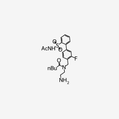 CCCCC(=O)N(CCN)Cc1ccc(-c2ccccc2S(=O)(=O)NC(C)=O)cc1F